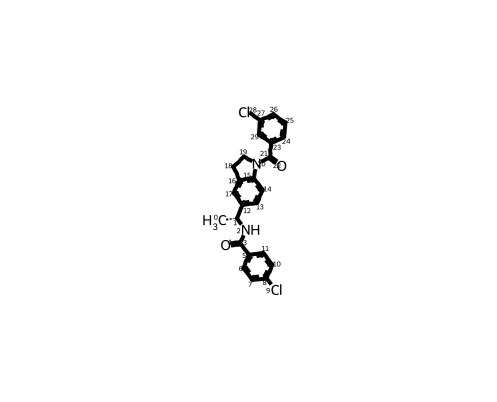 C[C@@H](NC(=O)c1ccc(Cl)cc1)c1ccc2c(c1)CCN2C(=O)c1cccc(Cl)c1